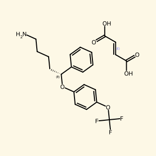 NCCCC[C@@H](Oc1ccc(OC(F)(F)F)cc1)c1ccccc1.O=C(O)/C=C/C(=O)O